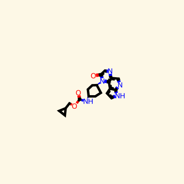 O=C(N[C@H]1CC[C@H](n2c(=O)cnc3cnc4[nH]ccc4c32)CC1)OCC1CC1